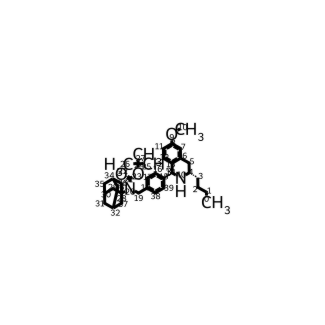 CCCC[C@H]1Cc2cc(OC)ccc2[C@H](c2ccc(CN(C(=O)OC(C)(C)C)C34CC5CC(CC(C5)C3)C4)cc2)N1